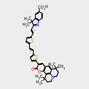 CC1(C)CCN2CCC(C)(C)c3c2c1cc1cc(-c2ccc(/C=C/c4ccc(/C=C/C5=Nc6ccc(C(=O)O)cc6C5(C)C)s4)s2)c(=O)oc31